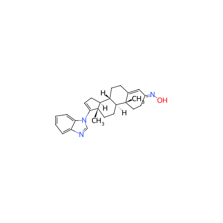 C[C@]12CCC(=NO)C=C1CC[C@@H]1[C@@H]2CC[C@]2(C)C(n3cnc4ccccc43)=CC[C@@H]12